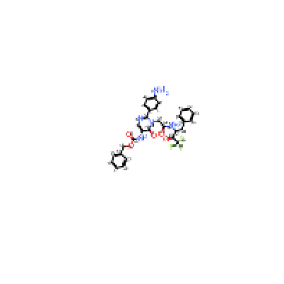 Nc1ccc(-c2ncc(NC(=O)OCc3ccccc3)c(=O)n2CC(=O)NC(Cc2ccccc2)C(=O)C(F)(F)F)cc1